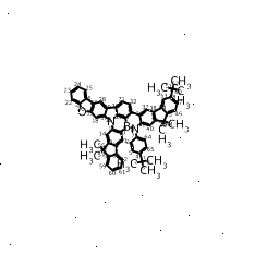 CC(C)(C)c1ccc(N2B3c4cc5c(cc4-n4c6cc7oc8ccccc8c7cc6c6ccc(c3c64)-c3cc4c(cc32)C(C)(C)c2ccc(C(C)(C)C)cc2-4)C(C)(C)c2ccccc2-5)cc1